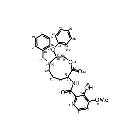 COc1ccnc(C(=O)N[C@H]2CCC[C@H](Cc3ccccc3)[C@@H](Oc3ccccc3)[C@H](C)OC2=O)c1O